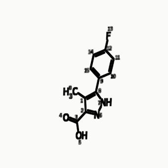 Cc1c(C(=O)O)n[nH]c1-c1ccc(F)cc1